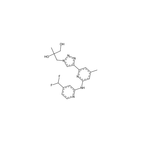 Cc1cc(Nc2cc(C(F)F)ccn2)nc(-c2cn(CC(C)(O)CO)nn2)c1